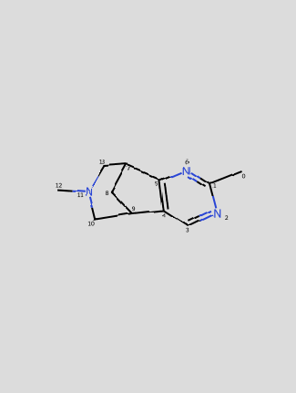 Cc1ncc2c(n1)C1CC2CN(C)C1